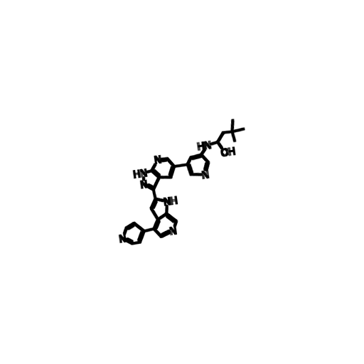 CC(C)(C)CC(O)Nc1cncc(-c2cnc3[nH]nc(-c4cc5c(-c6ccncc6)cncc5[nH]4)c3c2)c1